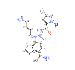 CCn1nc(C)cc1C(=O)Nc1nc2cc(C(N)=O)c3ccoc3c2n1CC=CCN